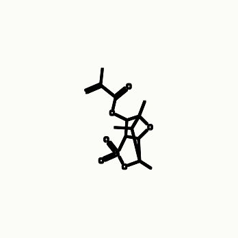 C=C(C)C(=O)OC1C2C3OC1(C)C(C)C3(C)OS2(=O)=O